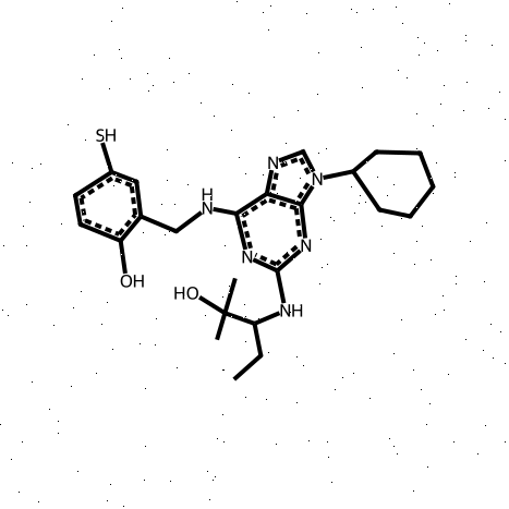 CCC(Nc1nc(NCc2cc(S)ccc2O)c2ncn(C3CCCCC3)c2n1)C(C)(C)O